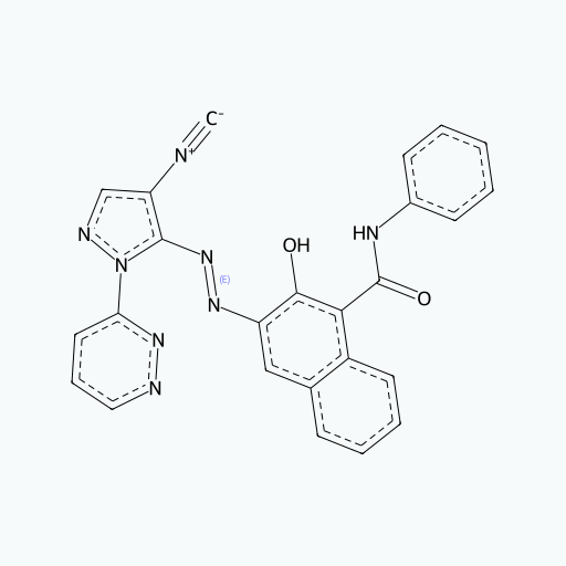 [C-]#[N+]c1cnn(-c2cccnn2)c1/N=N/c1cc2ccccc2c(C(=O)Nc2ccccc2)c1O